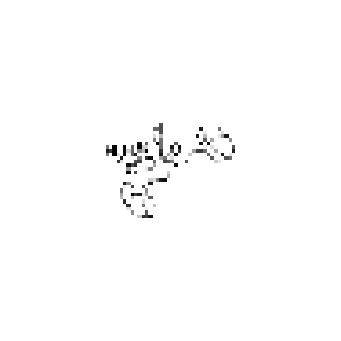 N=S(=O)(OS(N)(=O)=O)N(CCC12CC3CC(CC(C3)C1)C2)CCC12CC3CC(CC(C3)C1)C2